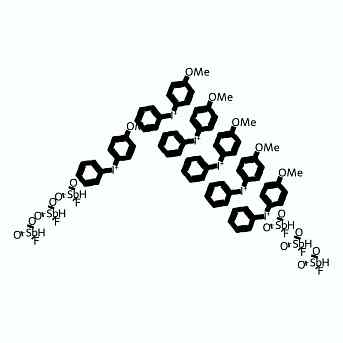 COc1ccc([I+]c2ccccc2)cc1.COc1ccc([I+]c2ccccc2)cc1.COc1ccc([I+]c2ccccc2)cc1.COc1ccc([I+]c2ccccc2)cc1.COc1ccc([I+]c2ccccc2)cc1.COc1ccc([I+]c2ccccc2)cc1.[O]=[SbH]([O-])[F].[O]=[SbH]([O-])[F].[O]=[SbH]([O-])[F].[O]=[SbH]([O-])[F].[O]=[SbH]([O-])[F].[O]=[SbH]([O-])[F]